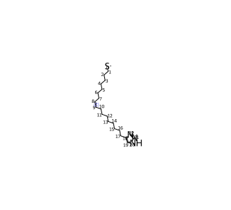 [S]CCCCCCC/C=C\CCCCCCCCc1c[nH]nn1